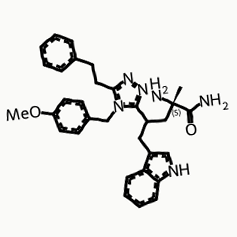 COc1ccc(Cn2c(CCc3ccccc3)nnc2C(Cc2c[nH]c3ccccc23)C[C@](C)(N)C(N)=O)cc1